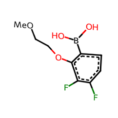 COCCOc1c(B(O)O)ccc(F)c1F